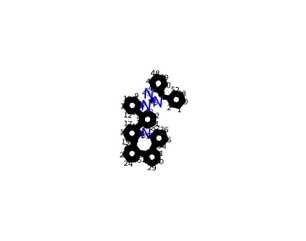 c1ccc(-c2nc(-n3c4ccccc4c4c5c6cccc7c8ccccc8c8ccccc8c8ccccc8n(c5ccc43)c76)nc3ccccc23)cc1